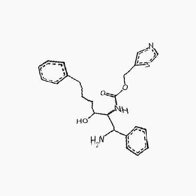 NC(c1ccccc1)C(NC(=O)OCc1cncs1)C(O)CCCc1ccccc1